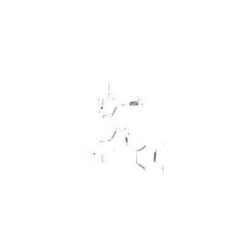 N#Cc1[nH]nnc1-c1nc(-c2ccc(F)c(Cl)c2)oc1CC(F)(F)F